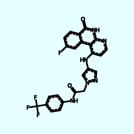 O=C(Cn1cc(Nc2ccnc3[nH]c(=O)c4ccc(F)cc4c23)cn1)Nc1ccc(C(F)(F)F)cc1